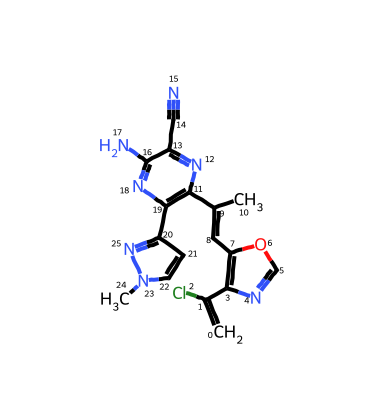 C=C(Cl)c1ncoc1/C=C(\C)c1nc(C#N)c(N)nc1-c1ccn(C)n1